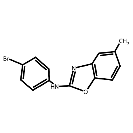 Cc1ccc2oc(Nc3ccc(Br)cc3)nc2c1